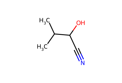 CC(C)C(O)C#N